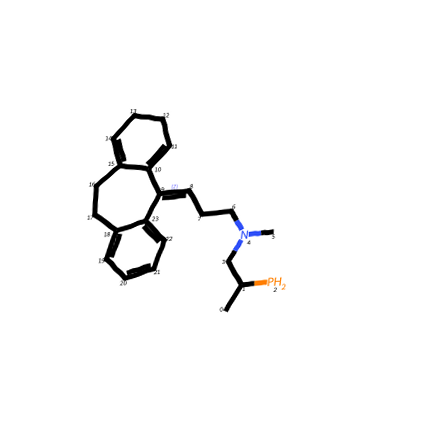 CC(P)CN(C)CC/C=C1/C2=CCCC=C2CCc2ccccc21